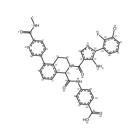 CNC(=O)c1ccc(-c2cccc3c2CCN(C(=O)c2cnn(-c4cccc(Cl)c4F)c2N)C3C(=O)Nc2ccc(C(=O)O)cc2)cn1